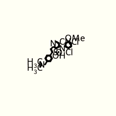 COc1cc(Nc2c(C#N)cnc3c2S(=O)(=O)C(c2ccc(CN(C)C)cc2)=C3)c(Cl)cc1Cl